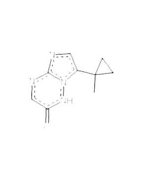 CC1(c2cnc3ncc(=O)[nH]n23)CC1